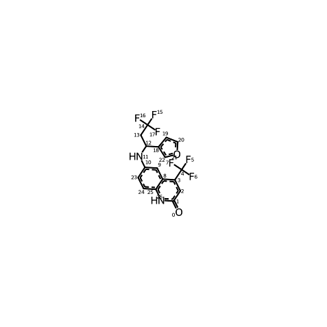 O=c1cc(C(F)(F)F)c2cc(NC(CC(F)(F)F)c3ccoc3)ccc2[nH]1